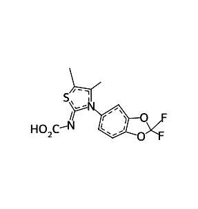 Cc1sc(=NC(=O)O)n(-c2ccc3c(c2)OC(F)(F)O3)c1C